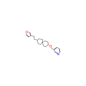 c1cncc(COC2CCC3(CCC(CCc4ccoc4)CC3)CC2)c1